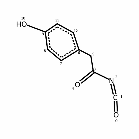 O=C=NC(=O)Cc1ccc(O)cc1